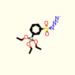 CCO[Si](OCC)(OCC)c1cccc(S(=O)(=O)N=[N+]=[N-])c1